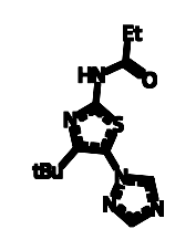 CCC(=O)Nc1nc(C(C)(C)C)c(-n2cncn2)s1